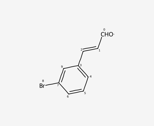 O=[C]C=Cc1cccc(Br)c1